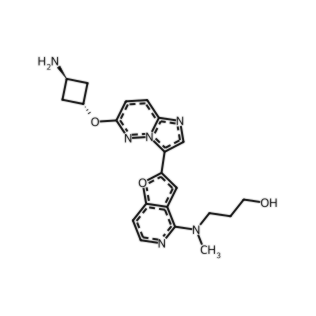 CN(CCCO)c1nccc2oc(-c3cnc4ccc(O[C@H]5C[C@H](N)C5)nn34)cc12